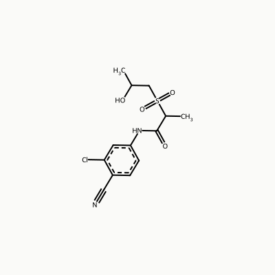 CC(O)CS(=O)(=O)C(C)C(=O)Nc1ccc(C#N)c(Cl)c1